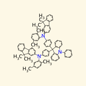 Cc1ccc(C)c(N(c2ccc(C3(c4ccc(N(c5ccc6c(c5)C(C)(C)c5ccccc5-6)c5cc(C)ccc5C)cc4)c4ccccc4N(c4ccccc4)c4ccccc43)cc2)c2ccc3c(c2)C(C)(C)c2ccccc2-3)c1